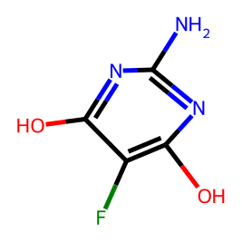 Nc1nc(O)c(F)c(O)n1